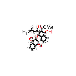 COC(=O)c1c(CC=C(C)C)c(OC2=CC(=O)c3ccccc3C2=O)c2ccccc2c1O